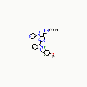 CCOc1cc(F)c(Cn2nc(-c3ncc(CCNC(=O)O)c(Nc4ccncc4)n3)c3ccccc32)c(F)c1